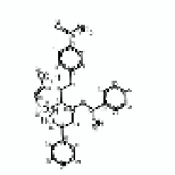 CC(CCc1ccc(C(N)=O)cc1)N(CC(O)c1ccccc1)CC(O)c1ccccc1.O=C(O)C=CC(=O)O